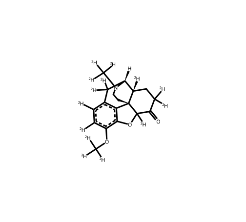 [2H]c1c([2H])c2c3c(c1OC([2H])([2H])[2H])OC1([2H])C(=O)C([2H])([2H])C[C@@]4([2H])[C@H](N(C([2H])([2H])[2H])CC[C@]314)C2([2H])[2H]